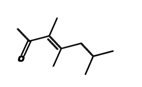 CC(=O)/C(C)=C(\C)CC(C)C